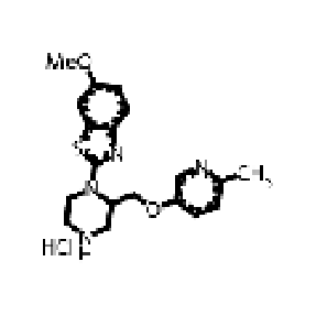 COc1ccc2nc(N3CCNCC3COc3ccc(C)nc3)sc2c1.Cl